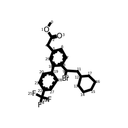 COC(=O)Cc1ccc(C(Br)CC2CCCCC2)c(-c2ccc(C(F)(F)F)cc2)c1